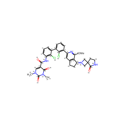 COc1nc(-c2cccc(-c3cccc(NC(=O)c4cn(C)c(=O)n(C)c4=O)c3Cl)c2Cl)cc2c1[C@@H](N1CC3(CCNC3=O)C1)CC2